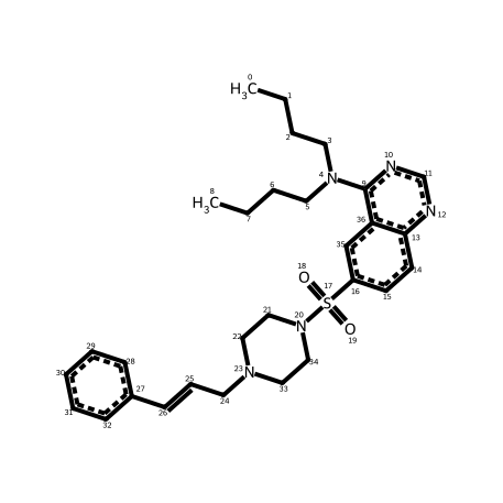 CCCCN(CCCC)c1ncnc2ccc(S(=O)(=O)N3CCN(C/C=C/c4ccccc4)CC3)cc12